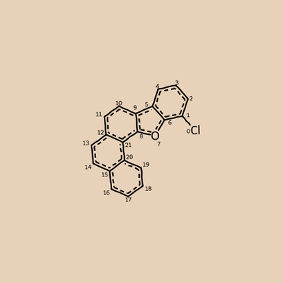 Clc1cccc2c1oc1c2ccc2ccc3ccccc3c21